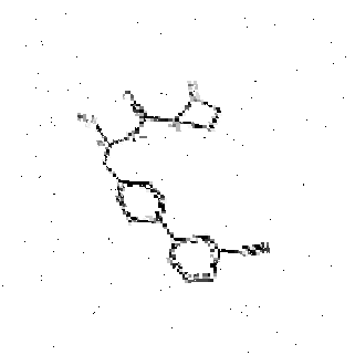 N#Cc1cccc(-c2ccc(C[C@@H](N)NC(=O)[C@@H]3CCN3)cc2)c1